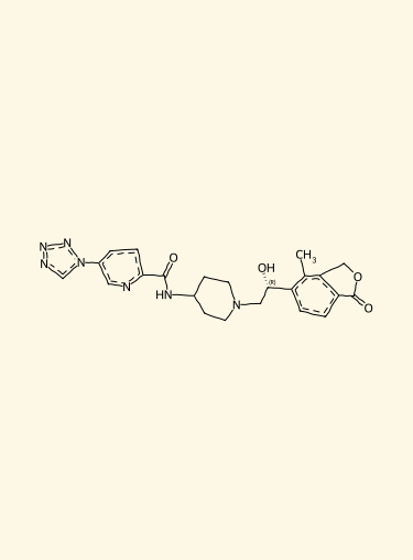 Cc1c([C@@H](O)CN2CCC(NC(=O)c3ccc(-n4cnnn4)cn3)CC2)ccc2c1COC2=O